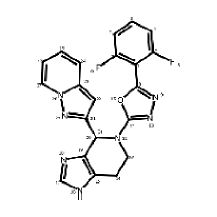 Fc1cccc(F)c1-c1nnc(N2CCc3[nH]cnc3[C@H]2c2cc3ccccn3n2)o1